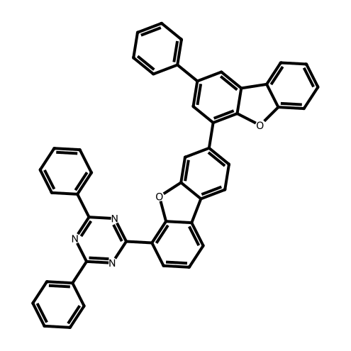 c1ccc(-c2cc(-c3ccc4c(c3)oc3c(-c5nc(-c6ccccc6)nc(-c6ccccc6)n5)cccc34)c3oc4ccccc4c3c2)cc1